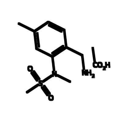 CC(=O)O.Cc1ccc(CN)c(N(C)S(C)(=O)=O)c1